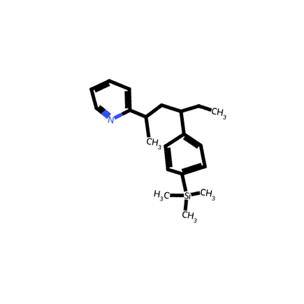 CCC(CC(C)c1ccccn1)c1ccc([Si](C)(C)C)cc1